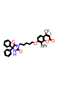 CCCc1c(OCCCCCN2C(=O)NC(c3ccccc3)(c3ccccc3)C2=O)ccc2c(C(F)(F)F)cc(=O)oc12